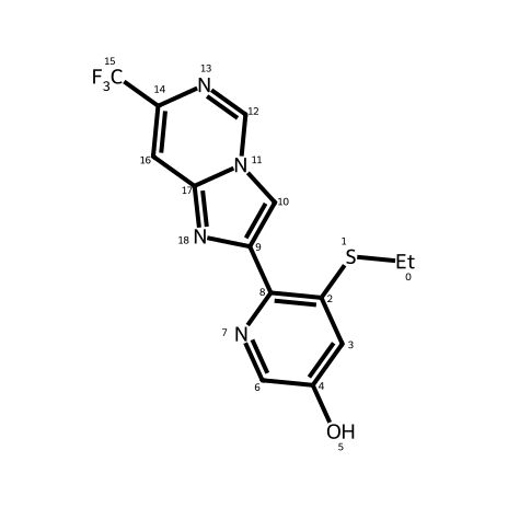 CCSc1cc(O)cnc1-c1cn2cnc(C(F)(F)F)cc2n1